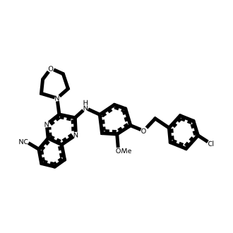 COc1cc(Nc2nc3cccc(C#N)c3nc2N2CCOCC2)ccc1OCc1ccc(Cl)cc1